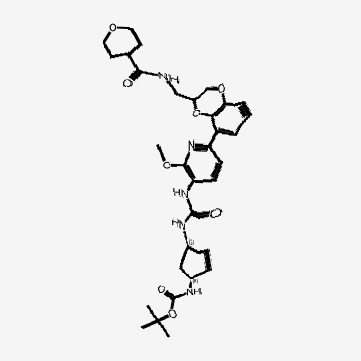 COc1nc(-c2cccc3c2OC(CNC(=O)C2CCOCC2)CO3)ccc1NC(=O)N[C@H]1CC[C@@H](NC(=O)OC(C)(C)C)C1